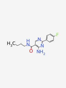 CCCCNC(=O)c1cnc(-c2ccc(F)cc2)nc1N